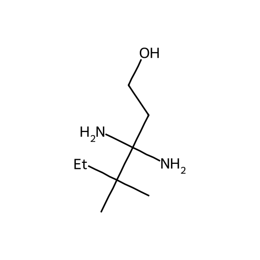 CCC(C)(C)C(N)(N)CCO